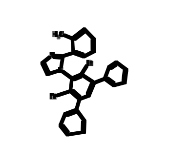 CCc1c(-c2ccccc2)cc(-c2ccccc2)c(CC)c1-n1ccnc1-c1ccccc1C